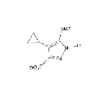 CCOC(=O)c1nn(CC)c(NC)c1C1CC1